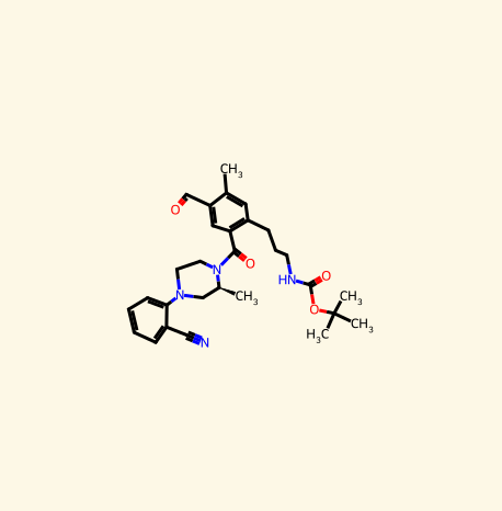 Cc1cc(CCCNC(=O)OC(C)(C)C)c(C(=O)N2CCN(c3ccccc3C#N)C[C@@H]2C)cc1C=O